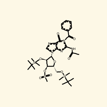 CC(=O)Nc1nc2c(ncn2[C@@H]2O[C@H](CO[Si](C)(C)C(C)(C)C)[C@@H](OS(C)(=O)=O)[C@H]2O[Si](C)(C)C(C)(C)C)c(=O)n1C(=O)c1ccccc1